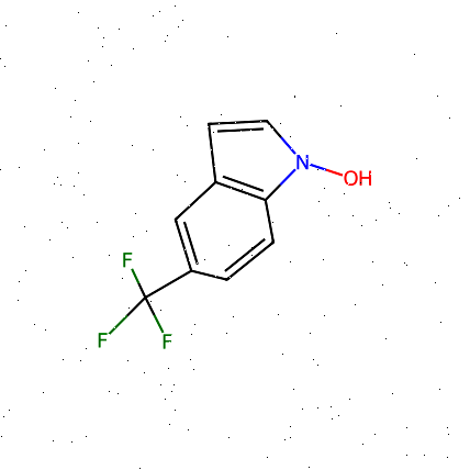 On1ccc2cc(C(F)(F)F)ccc21